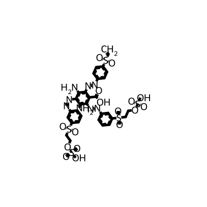 C=CS(=O)(=O)c1ccc(N=Nc2c(N)c(/N=N\c3cccc(S(=O)(=O)CCOS(=O)(=O)O)c3)c(N)c(N=Nc3cccc(S(=O)(=O)CCOS(=O)(=O)O)c3)c2C(=O)O)cc1